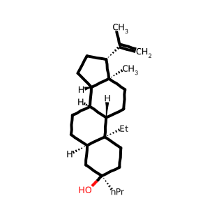 C=C(C)[C@H]1CC[C@H]2[C@@H]3CC[C@@H]4C[C@@](O)(CCC)CC[C@]4(CC)[C@H]3CC[C@]12C